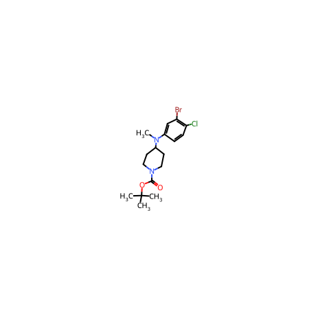 CN(c1ccc(Cl)c(Br)c1)C1CCN(C(=O)OC(C)(C)C)CC1